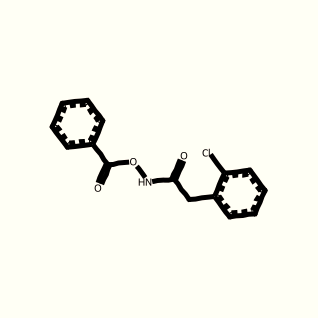 O=C(Cc1ccccc1Cl)NOC(=O)c1ccccc1